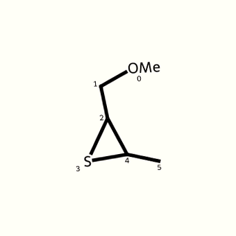 COCC1SC1C